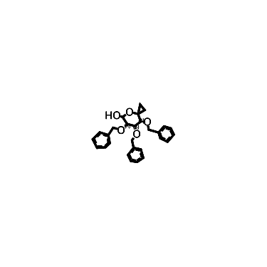 OC1OC2(CC2)[C@@H](OCc2ccccc2)[C@H](OCc2ccccc2)[C@H]1OCc1ccccc1